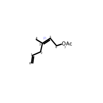 C=CC/C(C)=C\COC(C)=O